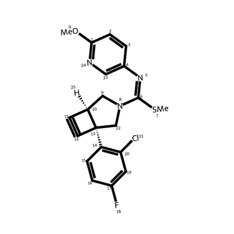 COc1ccc(/N=C(/SC)N2C[C@@H]3C#C[C@]3(c3ccc(F)cc3Cl)C2)cn1